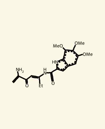 C=C(N)C(=O)/C=C(\CC)NC(=O)c1cc2cc(OC)c(OC)c(OC)c2[nH]1